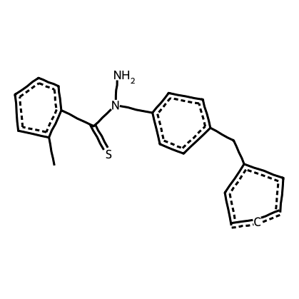 Cc1ccccc1C(=S)N(N)c1ccc(Cc2ccccc2)cc1